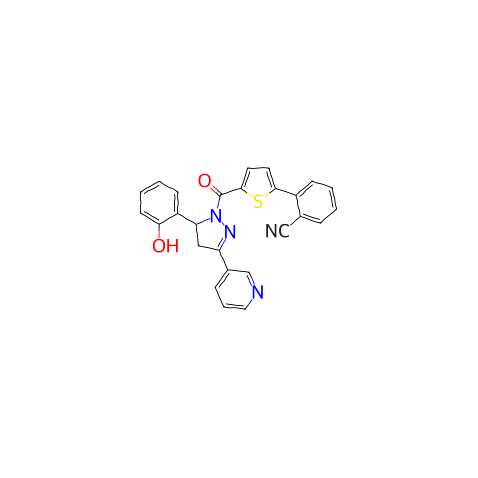 N#Cc1ccccc1-c1ccc(C(=O)N2N=C(c3cccnc3)CC2c2ccccc2O)s1